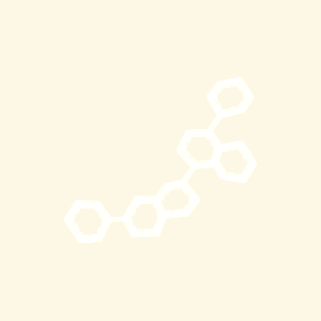 c1ccc(-c2ccc3ccc(-c4ccc(-c5ccccc5)c5ccccc45)cc3c2)cc1